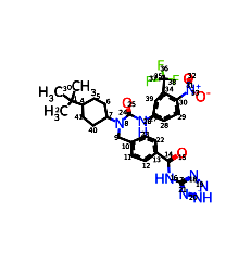 CC(C)(C)C1CCC(N(Cc2ccc(C(=O)Nc3nn[nH]n3)cc2)C(=O)Nc2ccc([N+](=O)[O-])c(C(F)(F)F)c2)CC1